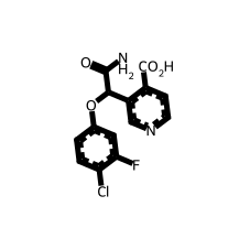 NC(=O)C(Oc1ccc(Cl)c(F)c1)c1cnccc1C(=O)O